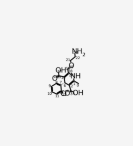 CC1=C(C(=O)O)[C@H](c2ccccc2Cl)C(C(=O)O)=C(COCCN)N1